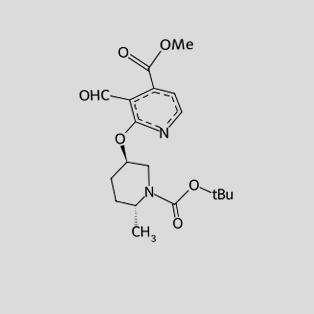 COC(=O)c1ccnc(O[C@@H]2CC[C@@H](C)N(C(=O)OC(C)(C)C)C2)c1C=O